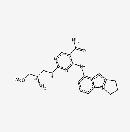 COC[C@H](N)CNc1ncc(C(N)=O)c(Nc2cccc3c2cc2n3CCC2)n1